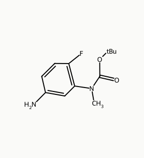 CN(C(=O)OC(C)(C)C)c1cc(N)ccc1F